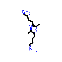 Cc1nc(CCCCN)c(C)nc1CCCCN